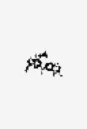 CN1C(=O)COc2ccc(Nc3cc(NC4CC4)c4ncc(C#N)n4n3)cc21